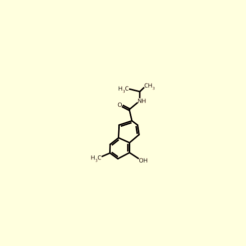 Cc1cc(O)c2ccc(C(=O)NC(C)C)cc2c1